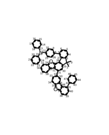 CC1(C)c2cccc(-c3ccc(N(c4ccccc4)c4ccccc4)cc3)c2-c2c1cc(-c1ccc3oc4cccc(-c5ccccc5)c4c3c1)c1c2oc2ccccc21